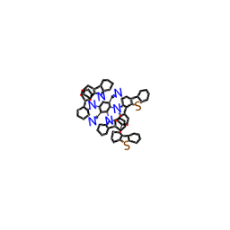 N#Cc1c(-n2c3ccccc3c3ccccc32)c(-n2c3ccccc3c3ccccc32)c(C#N)c(-n2c3cc(-c4cccc5sc6ccccc6c45)ccc3c3c4sc5ccccc5c4ccc32)c1-n1c2ccccc2c2ccccc21